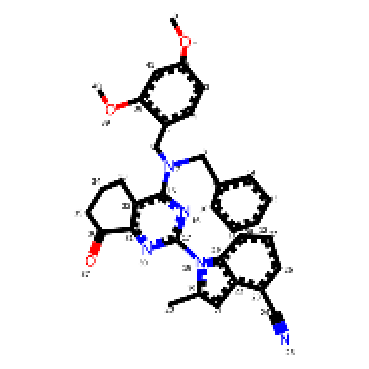 COc1ccc(CN(Cc2ccccc2)c2nc(-n3c(C)cc4c(C#N)cccc43)nc3c2CCCC3=O)c(OC)c1